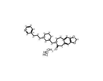 Cl.Cl.O.O=C1Cc2cc3c(cc2CCN1CC1CCCN(CCCc2cccnc2)C1)OCO3